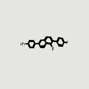 CCCc1ccc(-c2ccc3c(F)c(-c4ccc(F)cc4)ccc3c2)cc1